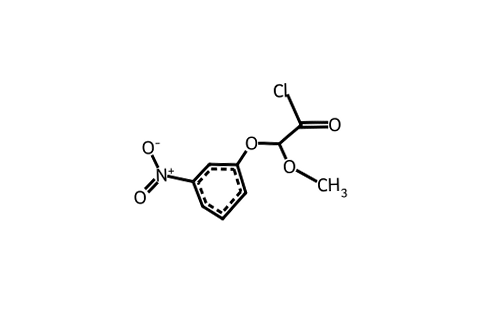 COC(Oc1cccc([N+](=O)[O-])c1)C(=O)Cl